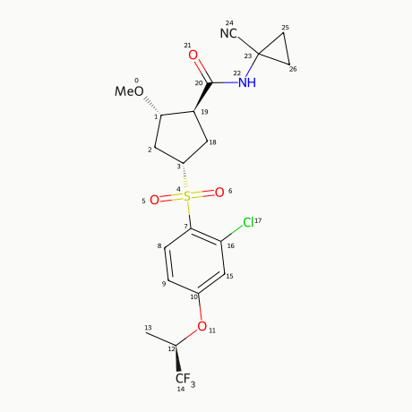 CO[C@H]1C[C@@H](S(=O)(=O)c2ccc(O[C@H](C)C(F)(F)F)cc2Cl)C[C@@H]1C(=O)NC1(C#N)CC1